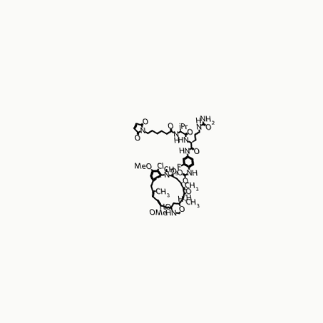 COc1cc2cc(c1Cl)N(C)C(=O)C[C@H](OC(=O)Nc1ccc(NC(=O)[C@H](CCCNC(N)=O)NC(=O)[C@@H](NC(=O)CCCCCN3C(=O)C=CC3=O)C(C)C)cc1F)[C@]1(C)O[C@H]1[C@H](C)[C@@H]1C[C@@](O)(NCO1)[C@H](OC)/C=C/C=C(\C)C2